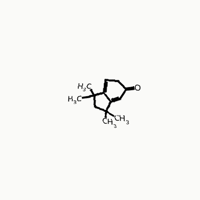 CC1(C)CC(C)(C)C2=CC(=O)CC=C21